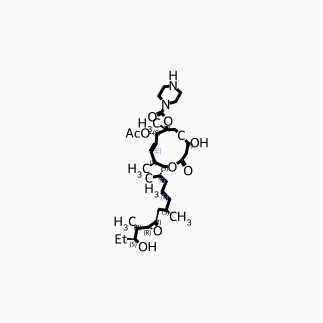 CC[C@H](O)[C@@H](C)[C@H]1O[C@@H]1C[C@H](C)/C=C/C=C(\C)[C@H]1OC(=O)C[C@H](O)CC[C@@](C)(OC(=O)N2CCNCC2)[C@@H](OC(C)=O)/C=C/[C@@H]1C